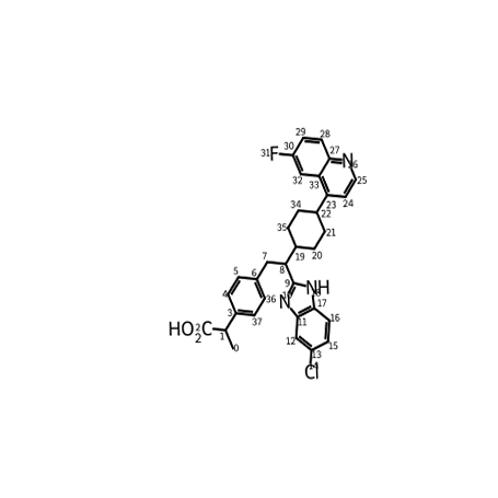 CC(C(=O)O)c1ccc(CC(c2nc3cc(Cl)ccc3[nH]2)C2CCC(c3ccnc4ccc(F)cc34)CC2)cc1